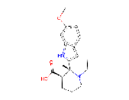 COc1ccc2c3c([nH]c2c1)[C@@]1(C)[C@H](C(=O)O)CCCN1CC3